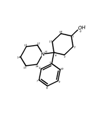 OC1CCC(c2ccccc2)(N2CCCCC2)CC1